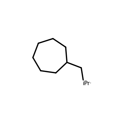 C[C](C)CC1CCCCCC1